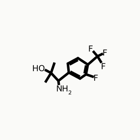 CC(C)(O)C(N)c1ccc(C(F)(F)F)c(F)c1